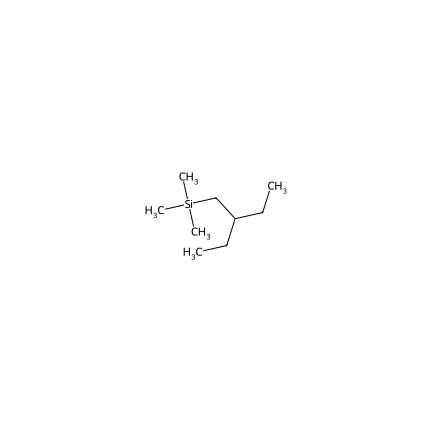 CCC(CC)C[Si](C)(C)C